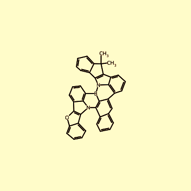 CC1(C)c2ccccc2-c2c1c1cccc3c1n2B1c2c-3cc3ccccc3c2-n2c3c1cccc3c1oc3ccccc3c12